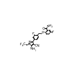 N#Cc1c(-c2ccc(CCOc3ccc(F)cc3C(N)=O)c(F)c2)nn(CC(F)(F)F)c1N